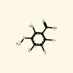 COc1c(O)c(C(=O)O)c(Cl)c(Cl)c1Cl